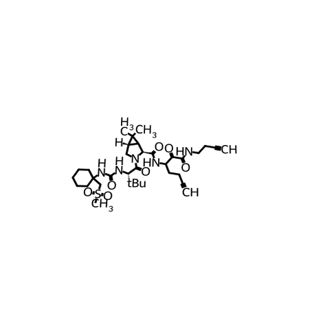 C#CCCNC(=O)C(=O)C(CCC#C)NC(=O)[C@@H]1C2[C@H](CN1C(=O)[C@@H](NC(=O)NC1(CS(C)(=O)=O)CCCCC1)C(C)(C)C)C2(C)C